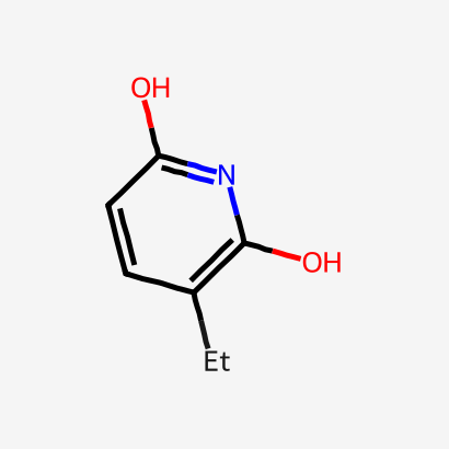 CCc1ccc(O)nc1O